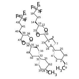 CC[C@H]1CC[C@H]([C@H]2CC[C@H]([C@H]3OC[C@H](CCCC(F)(F)F)CO3)CC2)CC1.C[C@H]1CC[C@H]([C@H]2CC[C@H]([C@H]3OC[C@H](CCCC(F)(F)F)CO3)CC2)CC1